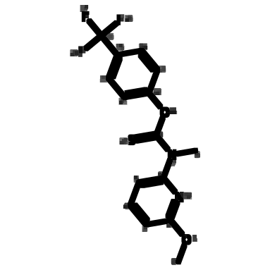 COc1cccc(N(C)C(=S)Oc2ccc(C(F)(F)F)cc2)n1